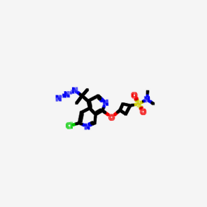 CN(C)S(=O)(=O)C1CC(Oc2ncc(C(C)(C)N=[N+]=[N-])c3cc(Cl)ncc23)C1